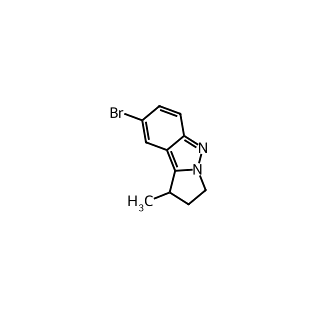 CC1CCn2nc3ccc(Br)cc3c21